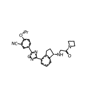 CC(C)Oc1ccc(-c2nc(-c3cccc4c3CC[C@H]4NCC(=O)N3CCC3)no2)cc1C#N